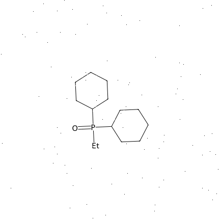 CCP(=O)(C1CCCCC1)C1CCCCC1